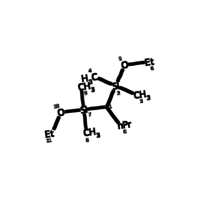 CCCC([Si](C)(C)OCC)[Si](C)(C)OCC